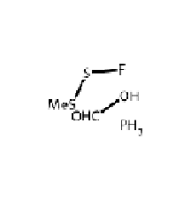 CSSF.O=CO.P